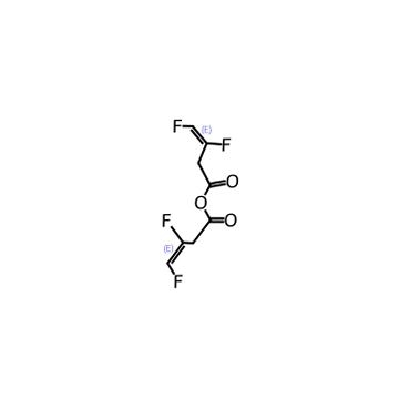 O=C(C/C(F)=C\F)OC(=O)C/C(F)=C\F